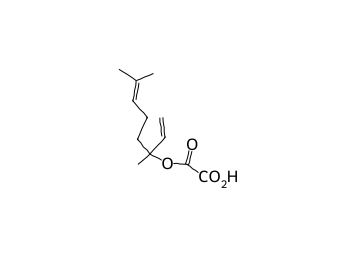 C=CC(C)(CCC=C(C)C)OC(=O)C(=O)O